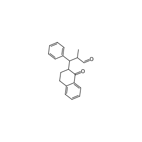 CC(C=O)C(c1ccccc1)C1CCc2ccccc2C1=O